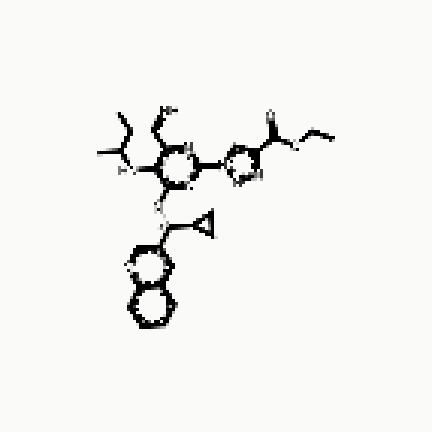 CCOC(=O)c1cn(-c2nc(C=N)c(NC(C)CC)c(N[C@@H](c3cnc4ccccc4c3)C3CC3)n2)nn1